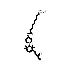 C=CC(=O)CCC1=CCC(C)(C)C(N2CCC(OC(=O)CCCCCCCCC(=O)O)CC2)C1(C)C